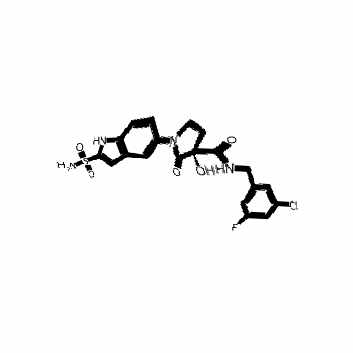 NS(=O)(=O)c1cc2cc(N3CC[C@](O)(C(=O)NCc4cc(F)cc(Cl)c4)C3=O)ccc2[nH]1